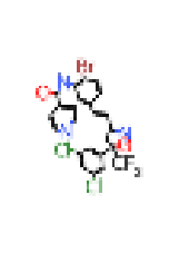 CN(C(=O)c1ccncc1)c1cc(/C=C/C2=NOC(c3cc(Cl)cc(Cl)c3)(C(F)(F)F)C2)ccc1Br